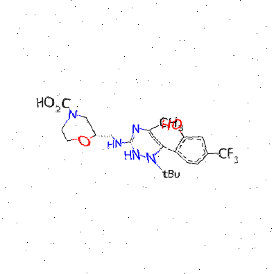 CC1=C(c2ccc(C(F)(F)F)cc2O)N(C(C)(C)C)NC(NC[C@H]2CN(C(=O)O)CCO2)=N1